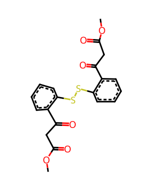 COC(=O)CC(=O)c1ccccc1SSc1ccccc1C(=O)CC(=O)OC